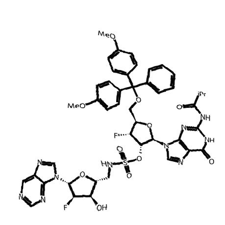 COc1ccc(C(OC[C@H]2O[C@@H](n3cnc4c(=O)[nH]c(NC(=O)C(C)C)nc43)[C@H](OS(=O)(=O)NC[C@H]3O[C@@H](n4cnc5cncnc54)[C@H](F)[C@@H]3O)[C@@H]2F)(c2ccccc2)c2ccc(OC)cc2)cc1